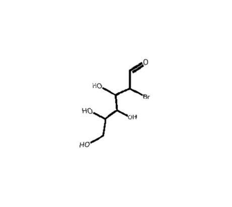 O=CC(Br)C(O)C(O)C(O)CO